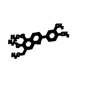 CCc1cc2nc(-c3ccc(C)c(C)c3)ccc2c(OC)c1OC